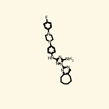 Nc1nc(Nc2ccc(N3CCN(c4ccc(F)cc4)CC3)cc2)nn1-c1ncc2c(n1)CCCCCC2